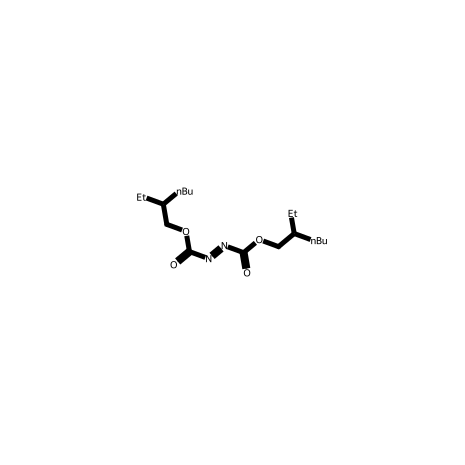 CCCCC(CC)COC(=O)N=NC(=O)OCC(CC)CCCC